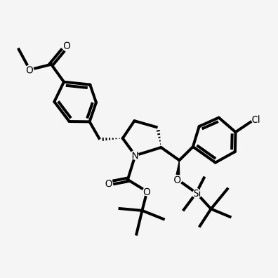 COC(=O)c1ccc(C[C@@H]2CC[C@H]([C@H](O[Si](C)(C)C(C)(C)C)c3ccc(Cl)cc3)N2C(=O)OC(C)(C)C)cc1